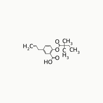 C=CCc1ccc(OC(=O)C(C)(C)CC)c(C(=O)O)c1